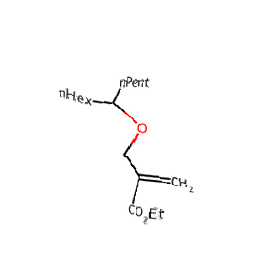 C=C(COC(CCCCC)CCCCCC)C(=O)OCC